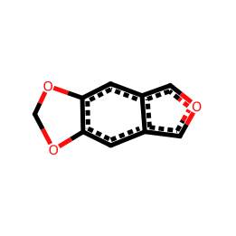 c1occ2cc3c(cc12)OCO3